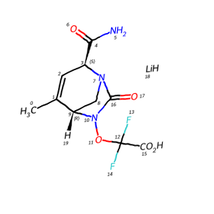 CC1=C[C@@H](C(N)=O)N2C[C@@H]1N(OC(F)(F)C(=O)O)C2=O.[LiH]